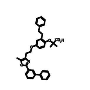 Cc1oc(-c2cccc(-c3ccccc3)c2)nc1CCOc1ccc(OC(C)(C)C(=O)O)c(CCc2ccccc2)c1